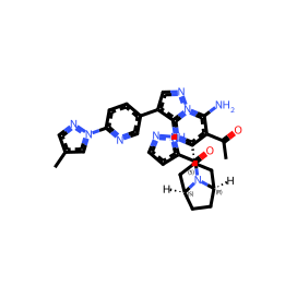 CC(=O)c1c([C@@H]2C[C@H]3CC[C@@H](C2)N3C(=O)c2ccn[nH]2)nc2c(-c3ccc(-n4cc(C)cn4)nc3)cnn2c1N